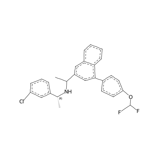 CC(N[C@H](C)c1cccc(Cl)c1)c1cc(-c2ccc(OC(F)F)cc2)c2ccccc2c1